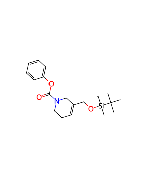 CC(C)(C)[Si](C)(C)OCC1=CCCN(C(=O)Oc2ccccc2)C1